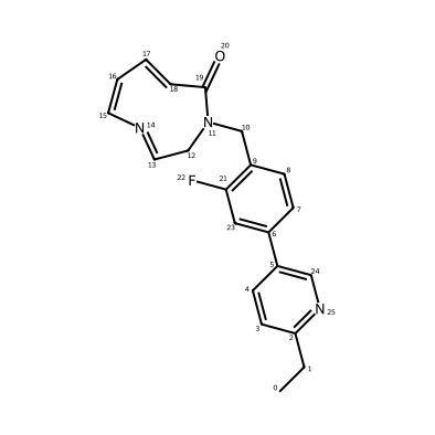 CCc1ccc(-c2ccc(CN3C/C=N/C=C\C=C\C3=O)c(F)c2)cn1